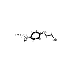 O=C(O)Nc1ccc(OCCBr)cc1